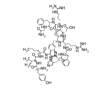 CCCC[C@H](NC(=O)[C@@H](NC(=O)[C@@H](N)Cc1ccc(O)cc1)C(C)C)C(=O)NCC(=O)N[C@@H](Cc1cnc[nH]1)C(=O)N[C@H](Cc1ccccc1)C(=O)NC(CCCNC(=N)N)C(=O)N[C@H](Cc1ccc2ccccc2c1)C(=O)N[C@@H](CC(=O)O)C(=O)N[C@@H](CCCNC(=N)N)C(=O)NC(Cc1ccccc1)C(=O)NCC(N)=O